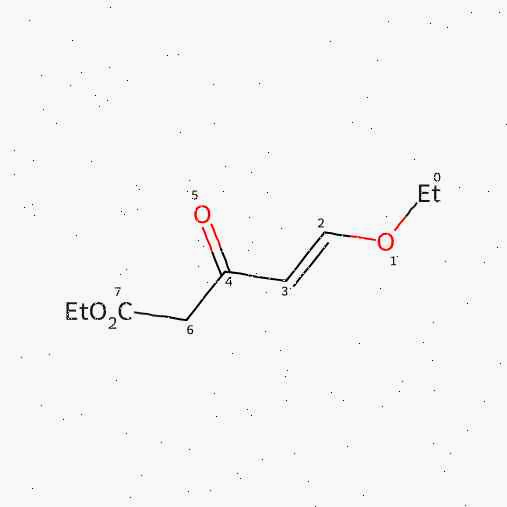 CCOC=CC(=O)CC(=O)OCC